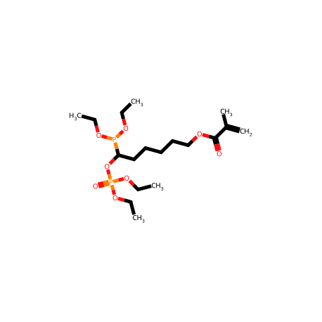 C=C(C)C(=O)OCCCCCC(OP(=O)(OCC)OCC)P(OCC)OCC